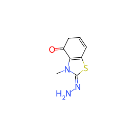 Cn1c2c(sc1=NN)C=CCC2=O